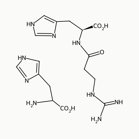 N=C(N)NCCC(=O)N[C@@H](Cc1c[nH]cn1)C(=O)O.NC(Cc1c[nH]cn1)C(=O)O